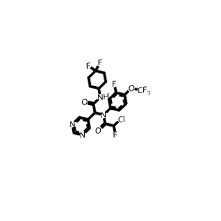 O=C(NC1CCC(F)(F)CC1)C(c1cncnc1)N(C(=O)C(F)Cl)c1ccc(OC(F)(F)F)c(F)c1